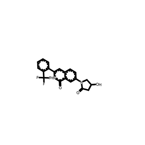 O=C1CC(O)CN1c1ccc2cc(-c3ccccc3C(F)(F)F)[nH]c(=O)c2c1